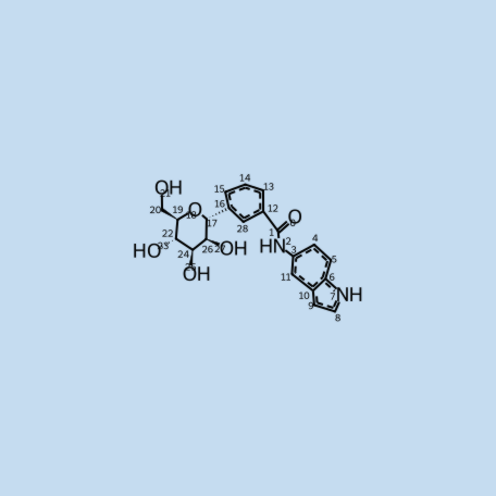 O=C(Nc1ccc2[nH]ccc2c1)c1cccc([C@H]2O[C@H](CO)[C@@H](O)[C@H](O)[C@@H]2O)c1